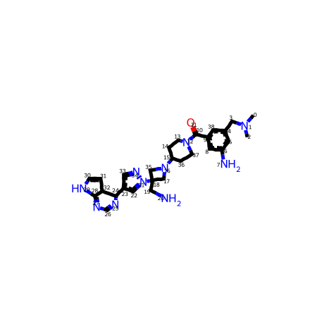 CN(C)Cc1cc(N)cc(C(=O)N2CCC(N3CC(CN)(n4cc(C5N=CN=C6NC=CC65)cn4)C3)CC2)c1